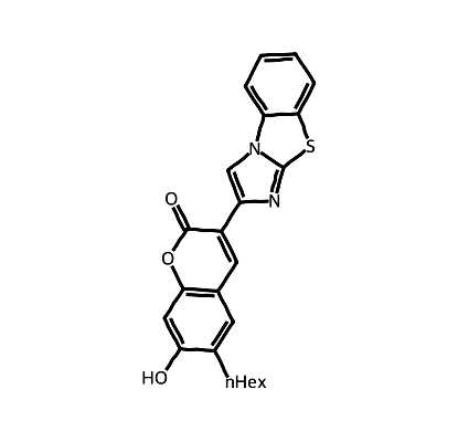 CCCCCCc1cc2cc(-c3cn4c(n3)sc3ccccc34)c(=O)oc2cc1O